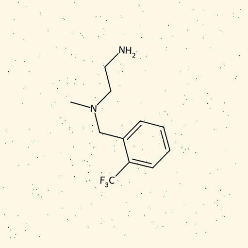 CN(CCN)Cc1ccccc1C(F)(F)F